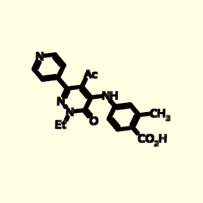 CCn1nc(-c2ccncc2)c(C(C)=O)c(Nc2ccc(C(=O)O)c(C)c2)c1=O